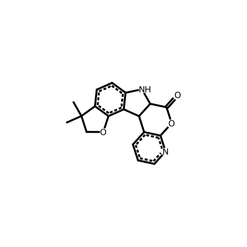 CC1(C)COc2c1ccc1c2C2c3cccnc3OC(=O)C2N1